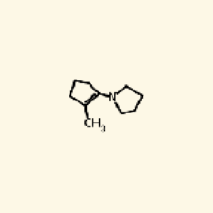 CC1=C(N2CCCC2)CCC1